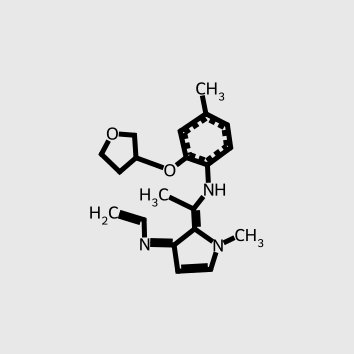 C=C/N=C1/C=CN(C)/C1=C(/C)Nc1ccc(C)cc1OC1CCOC1